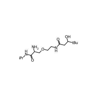 CC(C)NC(=O)C(N)COCCNC(=O)CC(O)C(C)(C)C